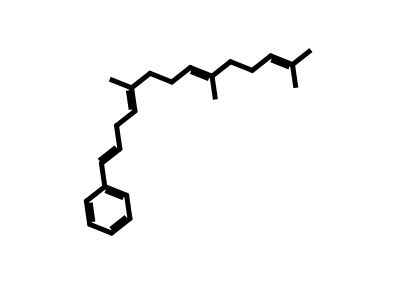 CC(C)=CCC/C(C)=C/CC/C(C)=C/C/C=C/c1ccccc1